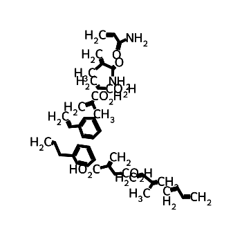 C=C(C)C(=O)O.C=C(C)C(N)=O.C=C(CC(=O)O)C(=O)O.C=CC(=C)C.C=CC(=O)O.C=CC(N)=O.C=CC=C.C=CCc1ccccc1.C=Cc1ccccc1